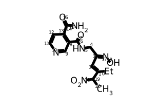 CC/C(=C\C(CNC(=O)c1cnccc1C(N)=O)=N/O)C(C)[N+](=O)[O-]